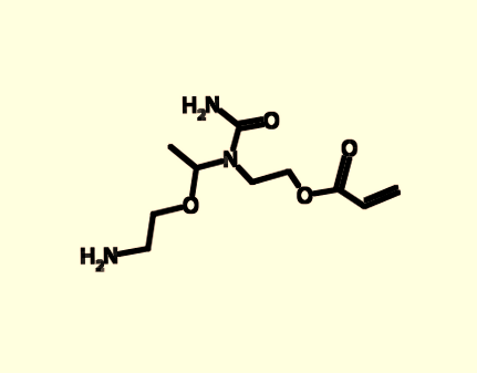 C=CC(=O)OCCN(C(N)=O)C(C)OCCN